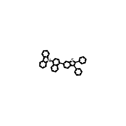 c1ccc(-c2sc3cc(-c4ccc(-n5c6ccccc6c6ccccc65)c5ccccc45)ccc3c2-c2ccccc2)cc1